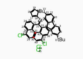 CC(C)(C)c1ccc2c(c1)Cc1c-2ccc(C(C)(C)C)[c]1[Zr+2]([C]1=CC=CC1)=[C](c1cccc2c(Cl)cccc12)c1cccc2c(Cl)cccc12.[Cl-].[Cl-]